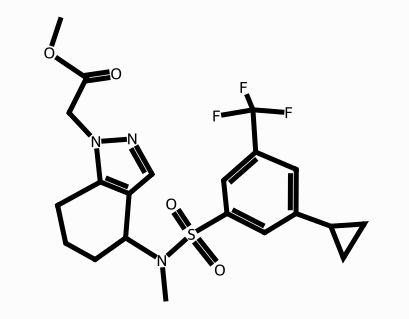 COC(=O)Cn1ncc2c1CCCC2N(C)S(=O)(=O)c1cc(C2CC2)cc(C(F)(F)F)c1